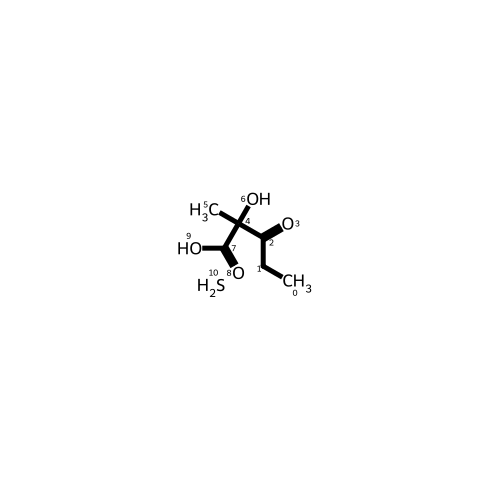 CCC(=O)C(C)(O)C(=O)O.S